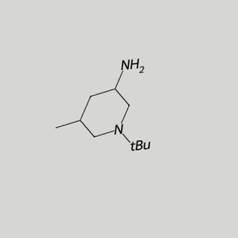 CC1CC(N)CN(C(C)(C)C)C1